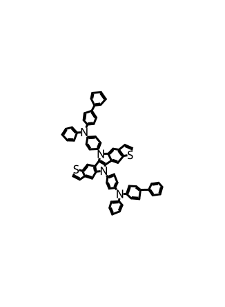 c1ccc(-c2ccc(N(c3ccccc3)c3ccc(-n4c5cc6ccsc6cc5c5c4c4cc6sccc6cc4n5-c4ccc(N(c5ccccc5)c5ccc(-c6ccccc6)cc5)cc4)cc3)cc2)cc1